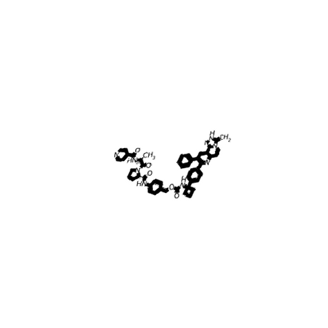 C=C1NN=C2c3cc(-c4ccccc4)c(-c4ccc(C5(NC(=O)OCc6ccc(NC(=O)[C@@H]7CCCN7C(=O)[C@@H](C)NC(=O)c7ccncc7)cc6)CCC5)cc4)nc3C=CN12